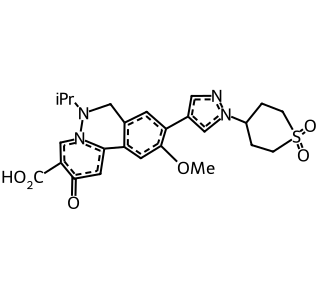 COc1cc2c(cc1-c1cnn(C3CCS(=O)(=O)CC3)c1)CN(C(C)C)n1cc(C(=O)O)c(=O)cc1-2